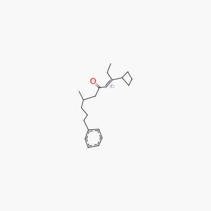 CC/C(=C\C(=O)CC(C)CCCc1ccccc1)C1CCC1